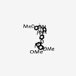 COc1cccc([C@H](C)NC(=O)c2cccnc2Nc2ccc(Oc3ccnc4cc(OC)c(OC)cc34)cc2)c1